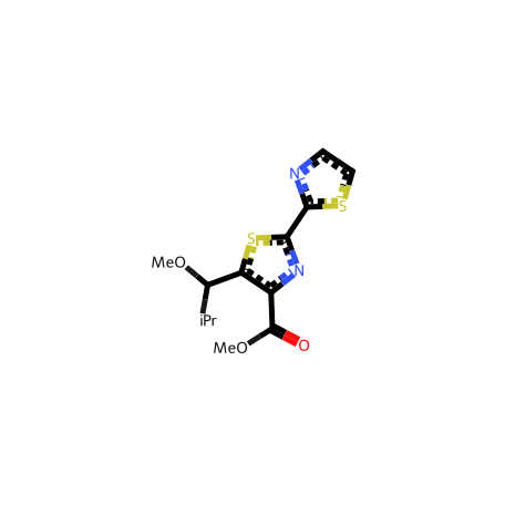 COC(=O)c1nc(-c2nccs2)sc1C(OC)C(C)C